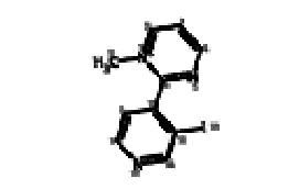 C[n+]1cccnc1-c1ccncc1I